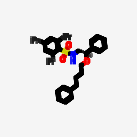 CC(C)c1cc(C(C)C)c(S(=O)(=O)NC[C@@H](OCCCCc2ccccc2)c2ccccc2)c(C(C)C)c1